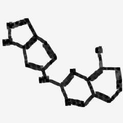 Clc1cccc2cnc(Nc3ccc4cn[nH]c4c3)nc12